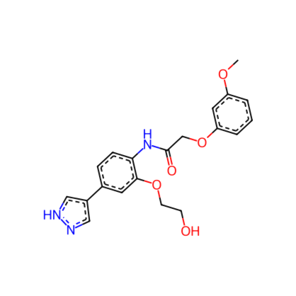 COc1cccc(OCC(=O)Nc2ccc(-c3cn[nH]c3)cc2OCCO)c1